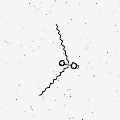 CCCCCCCCCCCCCCCC[N+](CCCCCCCCCCCCCCCC)(c1ccccc1)c1ccccc1.[Cl-]